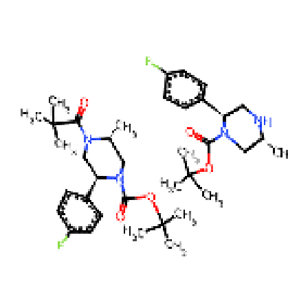 C[C@@H]1CN(C(=O)OC(C)(C)C)[C@@H](c2ccc(F)cc2)CN1.C[C@@H]1CN(C(=O)OC(C)(C)C)[C@@H](c2ccc(F)cc2)CN1C(=O)C(C)(C)C